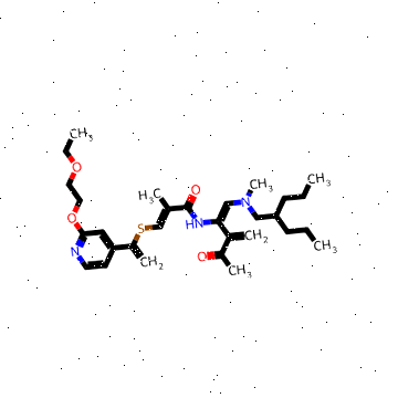 C=C(C(C)=O)/C(=C\N(C)CC(CCC)CCC)NC(=O)/C(C)=C/SC(=C)c1ccnc(OCCOCC)c1